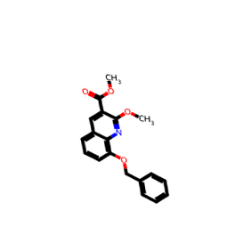 COC(=O)c1cc2cccc(OCc3ccccc3)c2nc1OC